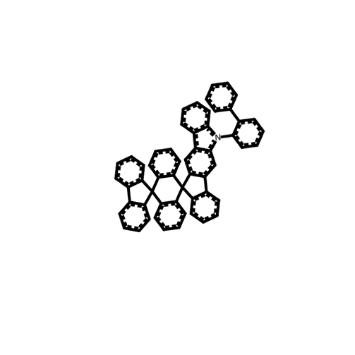 c1ccc(-c2ccccc2-n2c3ccccc3c3cc4c(cc32)-c2ccccc2C42c3ccccc3C3(c4ccccc4-c4ccccc43)c3ccccc32)cc1